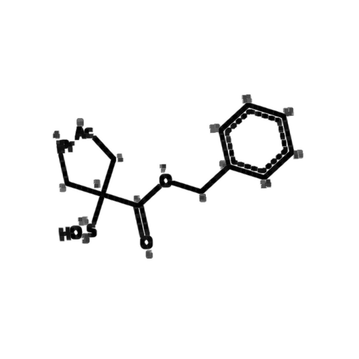 CC(=O)CC(CC(C)C)(C(=O)OCc1ccccc1)S(=O)(=O)O